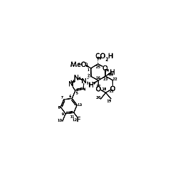 CO[C@@H]1[C@@H](n2cc(-c3ccc(C)c(F)c3)nn2)[C@H]2OC(C)(C)OC[C@H]2O[C@H]1C(=O)O